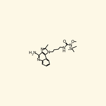 CON(C(=O)NCCCCn1c(C)nc2c(N)nc3ccccc3c21)[Si](C)(C)C